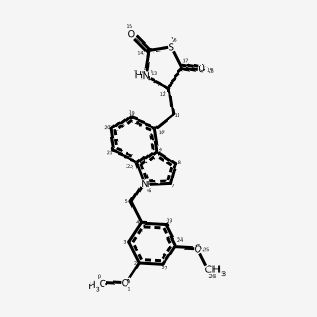 COc1cc(Cn2ccc3c(CC4NC(=O)SC4=O)cccc32)cc(OC)c1